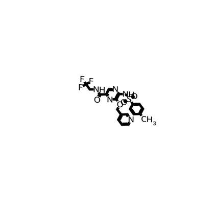 Cc1ccc(S(=O)(=O)Nc2ncc(C(=O)NCC(F)(F)F)nc2OCc2cccnc2)cc1